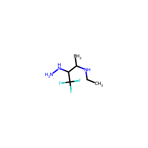 BC(NCC)C(NN)C(F)(F)F